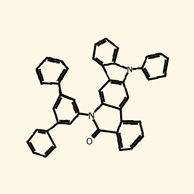 O=c1c2ccccc2c2cc3c(cc2n1-c1cc(-c2ccccc2)cc(-c2ccccc2)c1)c1ccccc1n3-c1ccccc1